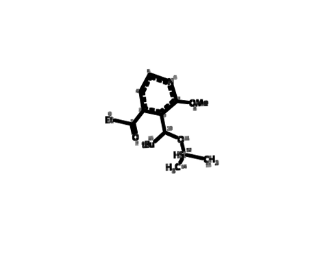 CCC(=O)c1ccnc(OC)c1C(O[SiH](C)C)C(C)(C)C